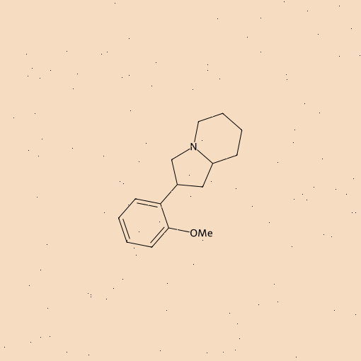 COc1ccccc1C1CC2CCCCN2C1